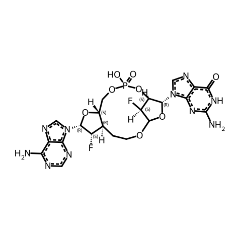 Nc1nc2c(ncn2[C@@H]2OC3OCC[C@H]4[C@H](F)[C@H](n5cnc6c(N)ncnc65)O[C@@H]4COP(=O)(O)O[C@@H]2[C@@H]3F)c(=O)[nH]1